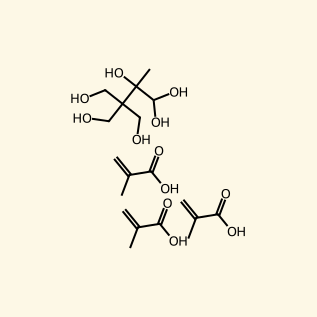 C=C(C)C(=O)O.C=C(C)C(=O)O.C=C(C)C(=O)O.CC(O)(C(O)O)C(CO)(CO)CO